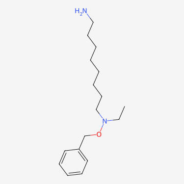 CCN(CCCCCCCCN)OCc1ccccc1